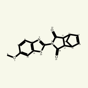 COc1ccc2nc(N3C(=O)C4C5C=CC(C5)C4C3=O)sc2c1